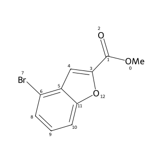 COC(=O)c1cc2c(Br)cccc2o1